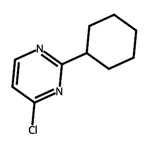 Clc1ccnc(C2CCCCC2)n1